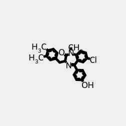 Cc1ccc(CC2N=C(c3ccc(O)cc3)c3cc(Cl)ccc3N(C)C2=O)cc1C